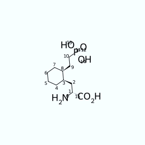 N[C@H](C[C@H]1CCCC[C@H]1CCP(=O)(O)O)C(=O)O